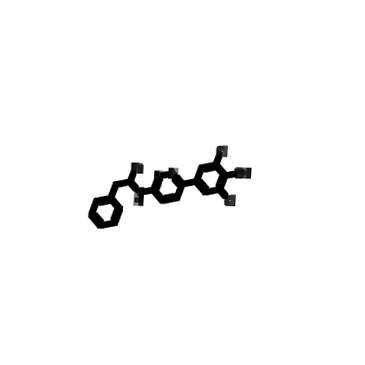 CCC(Cc1ccccc1)Nc1ccc(-c2cc(Cl)c(O)c(Cl)c2)nn1